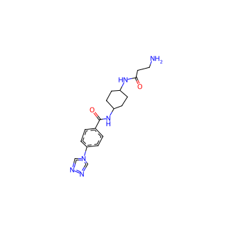 NCCC(=O)NC1CCC(NC(=O)c2ccc(-n3cnnc3)cc2)CC1